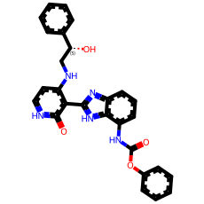 O=C(Nc1cccc2nc(-c3c(NC[C@@H](O)c4ccccc4)cc[nH]c3=O)[nH]c12)Oc1ccccc1